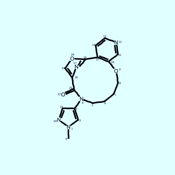 Cn1cc(N2CCCCOc3cnccc3-c3nc(co3)C2=O)cn1